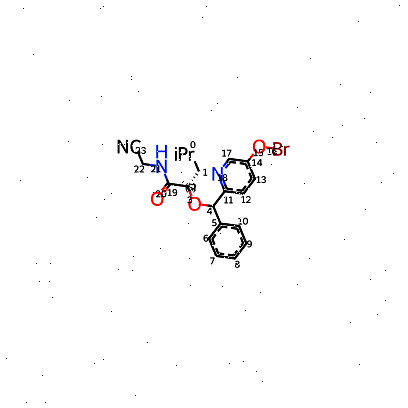 CC(C)C[C@H](OC(c1ccccc1)c1ccc(OBr)cn1)C(=O)NCC#N